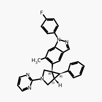 Cc1cc2c(cnn2-c2ccc(F)cc2)cc1[C@]12CN(c3ncccn3)C[C@H]1[C@@H]2c1ccccc1